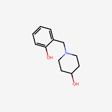 Oc1ccccc1CN1CCC(O)CC1